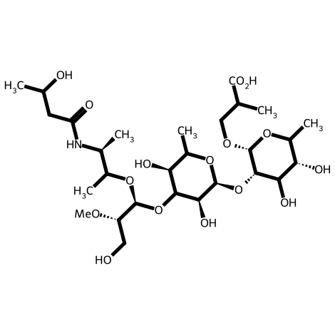 CO[C@@H](CO)[C@@H](OC(C)[C@H](C)NC(=O)CC(C)O)OC1[C@@H](O)C(C)O[C@@H](O[C@H]2C(O)[C@@H](O)C(C)O[C@H]2OCC(C)C(=O)O)[C@H]1O